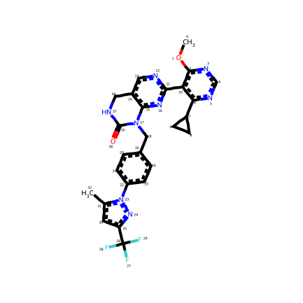 COc1ncnc(C2CC2)c1-c1ncc2c(n1)N(Cc1ccc(-n3nc(C(F)(F)F)cc3C)cc1)C(=O)NC2